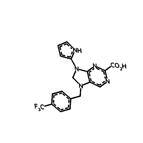 O=C(O)c1ncc2c(n1)N(c1ccc[nH]1)CN2Cc1ccc(C(F)(F)F)cc1